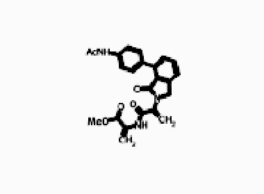 C=C(NC(=O)C(=C)N1Cc2cccc(-c3ccc(NC(C)=O)cc3)c2C1=O)C(=O)OC